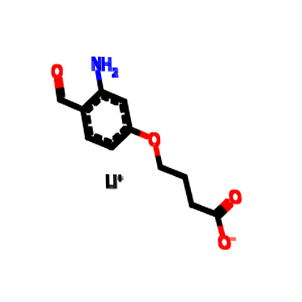 Nc1cc(OCCCC(=O)[O-])ccc1C=O.[Li+]